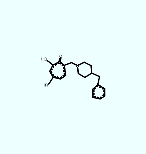 CC(C)c1ccc(CN2CCC(Cc3ccccc3)CC2)c(=O)c(O)c1